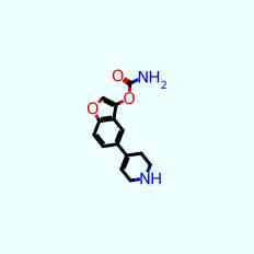 NC(=O)Oc1coc2ccc(C3=CCNCC3)cc12